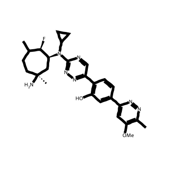 COc1cc(-c2ccc(-c3cnc(N(C4CC4)[C@H]4C[C@@](C)(N)CCC(C)[C@H]4F)nn3)c(O)c2)nnc1C